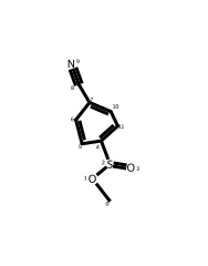 COS(=O)c1ccc(C#N)cc1